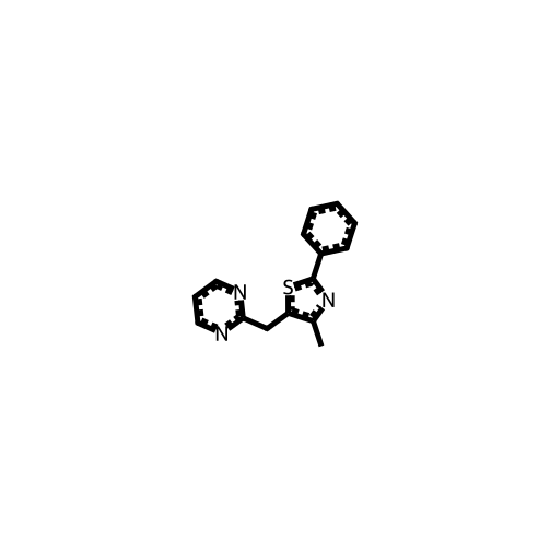 Cc1nc(-c2ccccc2)sc1Cc1ncccn1